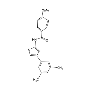 COc1ccc(C(=O)Nc2nc(-c3cc(C)cc(C)c3)cs2)cc1